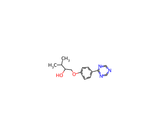 CC(C)C(O)COc1ccc(-c2ncncn2)cc1